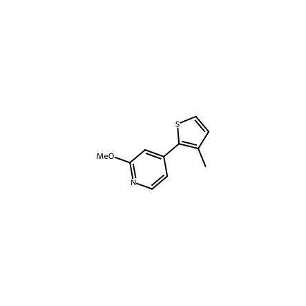 COc1cc(-c2sccc2C)ccn1